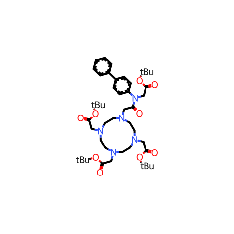 CC(C)(C)OC(=O)CN1CCN(CC(=O)OC(C)(C)C)CCN(CC(=O)N(CC(=O)OC(C)(C)C)c2ccc(-c3ccccc3)cc2)CCN(CC(=O)OC(C)(C)C)CC1